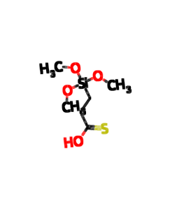 CO[Si](CCC(O)=S)(OC)OC